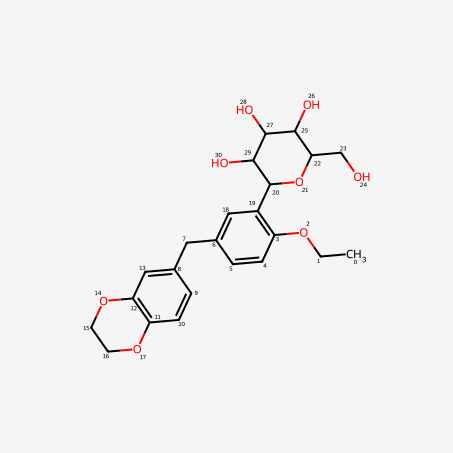 CCOc1ccc(Cc2ccc3c(c2)OCCO3)cc1C1OC(CO)C(O)C(O)C1O